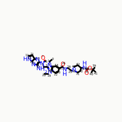 CCn1c(CN(C=O)c2nc3cc[nH]c3nc2N)[n+](CC)c2ccc(C(=O)NCCN3CCC(NC(=O)OC(C)(C)C)CC3)cc21